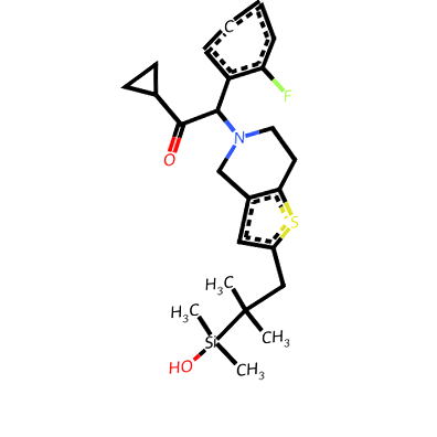 CC(C)(Cc1cc2c(s1)CCN(C(C(=O)C1CC1)c1ccccc1F)C2)[Si](C)(C)O